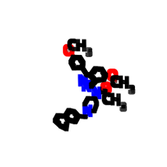 COc1ccc(-c2nnc(N(C(C)=O)C3CCN(Cc4ccc5ccccc5c4)CC3)c3cc(OC)ccc23)cc1